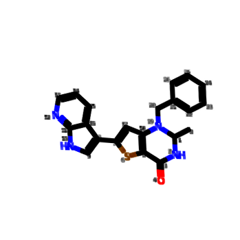 CC1NC(=O)c2sc(-c3c[nH]c4ncccc34)cc2N1Cc1ccccc1